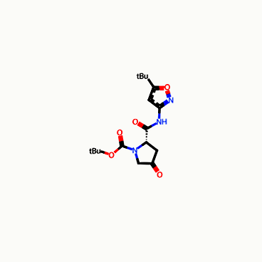 CC(C)(C)OC(=O)N1CC(=O)C[C@H]1C(=O)Nc1cc(C(C)(C)C)on1